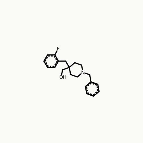 OCC1(Cc2ccccc2F)CCN(Cc2ccccc2)CC1